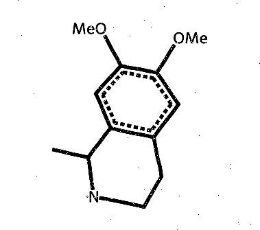 COc1cc2c(cc1OC)C(C)[N]CC2